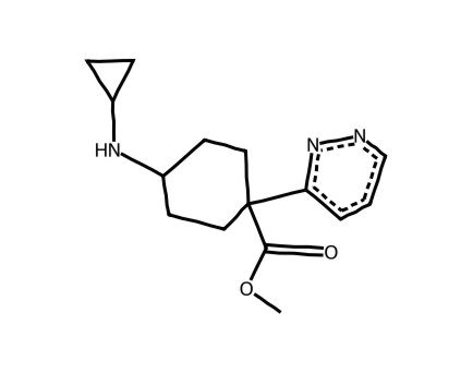 COC(=O)C1(c2cccnn2)CCC(NC2CC2)CC1